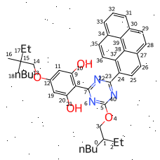 CCCCC(CC)COc1nc(-c2c(O)cc(OCC(C)(CC)CCCC)cc2O)nc(-c2ccc3ccc4cccc5ccc2c3c45)n1